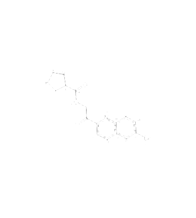 O=C(COC(=O)C1CCCC1)c1ccc2cc(Br)ccc2n1